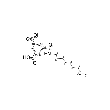 CCCCCCCCNC(=O)c1cc(C(=O)O)cc(C(=O)O)c1